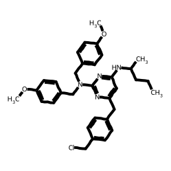 CCCC(C)Nc1cc(Cc2ccc(CCl)cc2)nc(N(Cc2ccc(OC)cc2)Cc2ccc(OC)cc2)n1